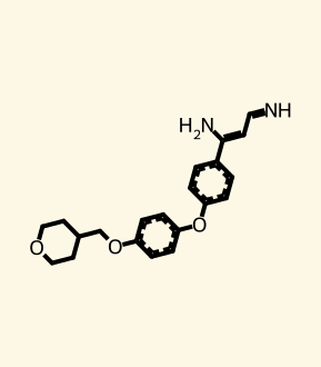 N=C/C=C(\N)c1ccc(Oc2ccc(OCC3CCOCC3)cc2)cc1